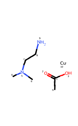 CC(=O)O.CN(C)CCN.[Cu]